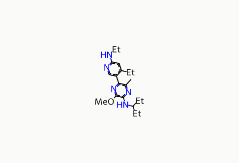 CCNc1cc(CC)c(-c2nc(OC)c(NC(CC)CC)nc2C)cn1